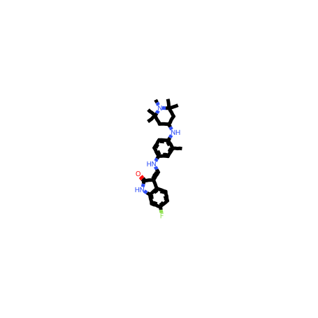 Cc1cc(N/C=C2\C(=O)Nc3cc(F)ccc32)ccc1NC1CC(C)(C)N(C)C(C)(C)C1